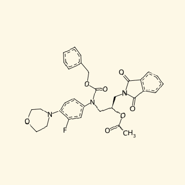 CC(=O)O[C@H](CN1C(=O)c2ccccc2C1=O)CN(C(=O)OCc1ccccc1)c1ccc(N2CCOCC2)c(F)c1